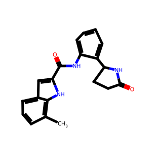 Cc1cccc2cc(C(=O)Nc3ccccc3C3CCC(=O)N3)[nH]c12